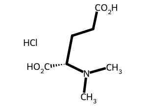 CN(C)[C@@H](CCC(=O)O)C(=O)O.Cl